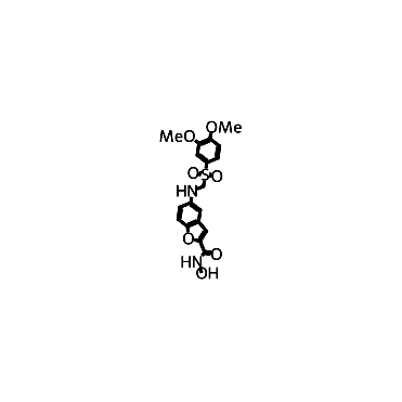 COc1ccc(S(=O)(=O)CNc2ccc3oc(C(=O)NO)cc3c2)cc1OC